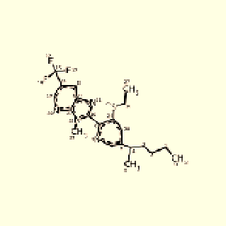 CCCCC(C)c1cnc(-c2nc3cc(C(F)(F)F)cnc3n2C)c(SCC)c1